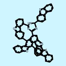 c1ccc2c(c1)oc1c(-c3ccc4c(c3)sc3ccccc34)ccc(-c3ccc4oc5cccc(C6=NC(c7ccc8c(c7)sc7ccccc78)=NC(c7ccc8c(c7)sc7ccccc78)N6)c5c4c3)c12